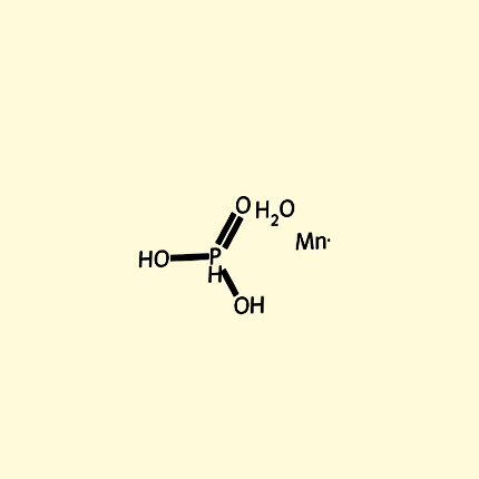 O.O=[PH](O)O.[Mn]